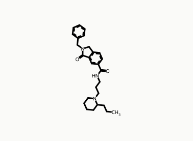 CCCC1CCCCN1CCCNC(=O)c1ccc2c(c1)C(=O)N(Cc1ccccc1)C2